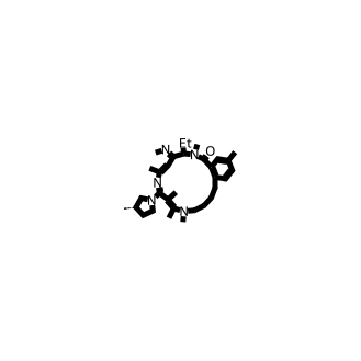 CCC1C(=N/C)/C=C(C)/N=C(N2CC[C@H](C)C2)\C(C)=C(/C)N(C)CCCCc2ccc(C)cc2C(=O)N1C